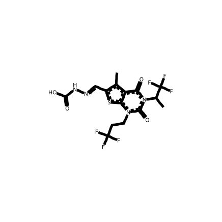 Cc1c(C=NNC(=O)O)sc2c1c(=O)n(C(C)C(F)(F)F)c(=O)n2CCC(F)(F)F